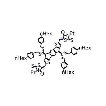 CCCCCCc1ccc(CSC(SCc2ccc(CCCCCC)cc2)=C2c3cc4c(cc3-c3sc(/C=C5\SC(=S)N(CC)C5=O)cc32)C(=C(SCc2ccc(CCCCCC)cc2)SCc2ccc(CCCCCC)cc2)c2cc(/C=C3\SC(=S)N(CC)C3=O)sc2-4)cc1